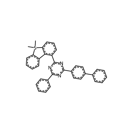 CS1(C)c2ccccc2-c2c(-c3nc(-c4ccccc4)nc(-c4ccc(-c5ccccc5)cc4)n3)cccc21